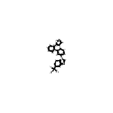 FC(F)(F)c1ccc2c(c1)ncn2-c1cccc(-c2ccccc2-c2ccno2)c1